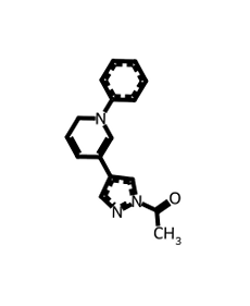 CC(=O)n1cc(C2=CN(c3ccccc3)CC=C2)cn1